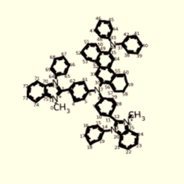 C[n+]1c(-c2ccc(N(c3ccc(-c4n(-c5ccccc5)c5ccccc5[n+]4C)cc3)c3cc4c(cc(N(c5ccccc5)c5ccccc5)c5ccccc54)c4c3=CCCC=4)cc2)n(-c2ccccc2)c2ccccc21